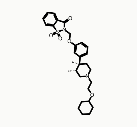 C[C@H]1CN(CCOC2CCCCC2)CC[C@]1(C)c1cccc(OCN2C(=O)c3ccccc3S2(=O)=O)c1